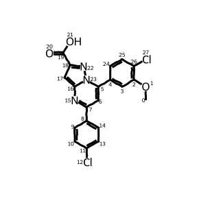 COc1cc(-c2cc(-c3ccc(Cl)cc3)nc3cc(C(=O)O)nn23)ccc1Cl